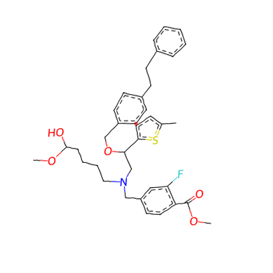 COC(=O)c1ccc(CN(CCCCC(O)OC)CC(OCc2ccc(CCc3ccccc3)cc2)c2ccc(C)s2)cc1F